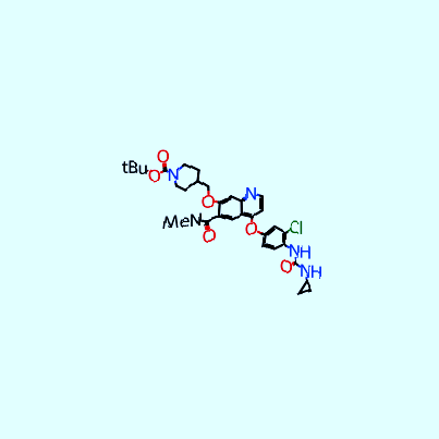 CNC(=O)c1cc2c(Oc3ccc(NC(=O)NC4CC4)c(Cl)c3)ccnc2cc1OCC1CCN(C(=O)OC(C)(C)C)CC1